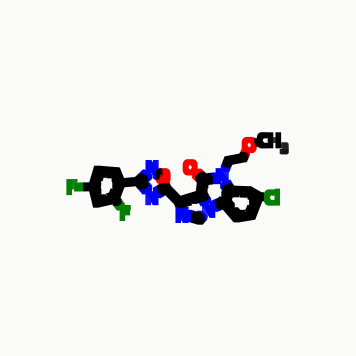 COCCn1c(=O)c2c(-c3nc(-c4ccc(F)cc4F)no3)ncn2c2ccc(Cl)cc21